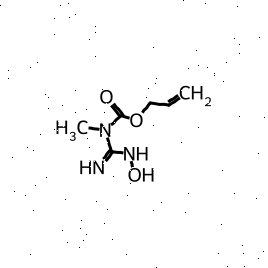 C=CCOC(=O)N(C)C(=N)NO